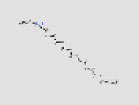 CCCCCNCCCCCCCCCCCCCCCCCC(=O)O